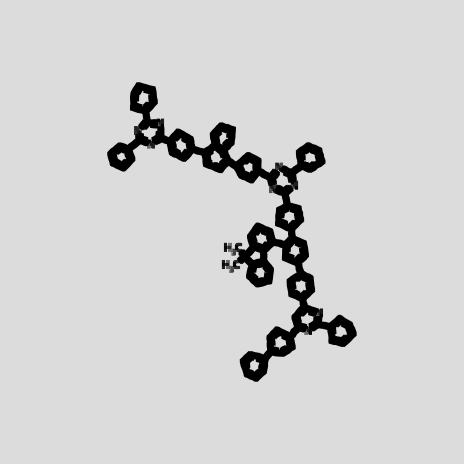 CC1(C)c2ccccc2-c2c(-c3cc(-c4ccc(-c5cc(-c6ccc(-c7ccccc7)cc6)nc(-c6ccccc6)n5)cc4)ccc3-c3ccc(-c4nc(-c5ccccc5)nc(-c5ccc(-c6ccc(-c7ccc(-c8nc(-c9ccccc9)nc(-c9ccccc9)n8)cc7)c7ccccc67)cc5)n4)cc3)cccc21